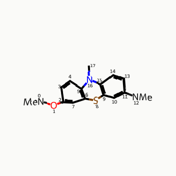 CNOc1ccc2c(c1)Sc1cc(NC)ccc1N2C